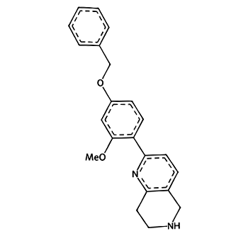 COc1cc(OCc2ccccc2)ccc1-c1ccc2c(n1)CCNC2